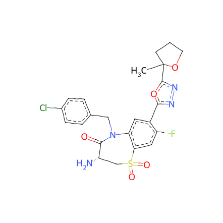 CC1(c2nnc(-c3cc4c(cc3F)S(=O)(=O)C[C@H](N)C(=O)N4Cc3ccc(Cl)cc3)o2)CCCO1